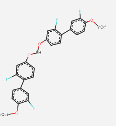 CCCCCCCCOc1ccc(-c2ccc(OBOc3ccc(-c4ccc(OCCCCCCCC)c(F)c4)c(F)c3)cc2F)cc1F